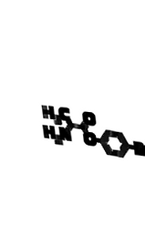 C[C@H](N)C(=O)Oc1ccc(Br)cc1